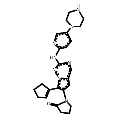 O=C1CCCN1c1cc2cnc(Nc3ccc(N4CCNCC4)cn3)nn2c1C1=CCCC1